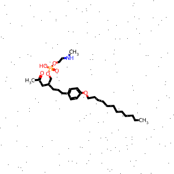 CCCCCCCCCCCCOc1ccc(CCCC(COP(=O)(O)OCCNC)CC(C)=O)cc1